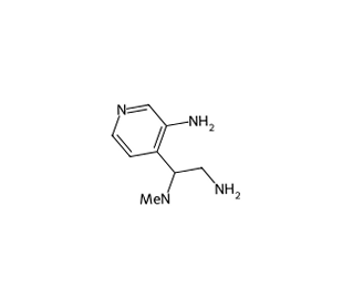 CNC(CN)c1ccncc1N